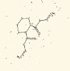 C=CCC(=O)C1CCCCC1C(=O)CC=C